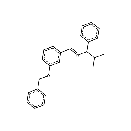 CC(C)C(/N=C/c1cccc(OCc2ccccc2)c1)c1ccccc1